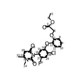 CCOC(=O)COc1ccccc1Oc1cc(-n2c(=O)cc(C)n(C)c2=O)c(F)cc1Cl